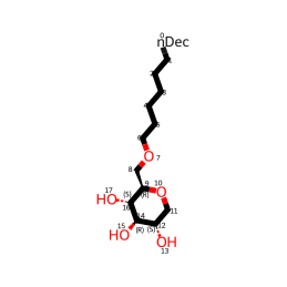 CCCCCCCCCCCCCCCCOC[C@H]1O[CH][C@H](O)[C@@H](O)[C@@H]1O